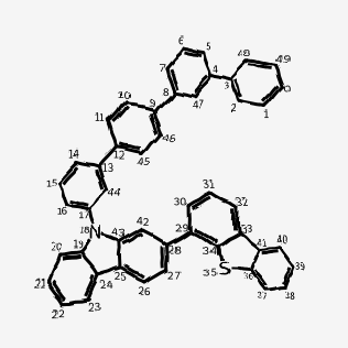 c1ccc(-c2cccc(-c3ccc(-c4cccc(-n5c6ccccc6c6ccc(-c7cccc8c7sc7ccccc78)cc65)c4)cc3)c2)cc1